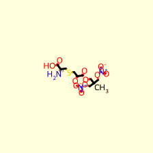 CC(COC(=O)C(=O)CSC[C@H](N)C(=O)O)(CO[N+](=O)[O-])CO[N+](=O)[O-]